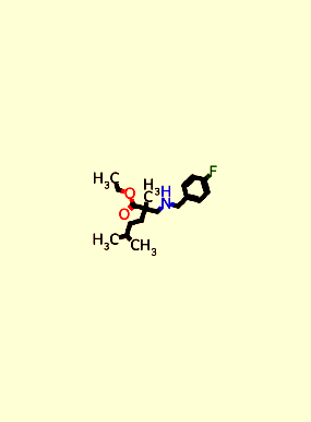 CCOC(=O)C(C)(CCC(C)C)CNCc1ccc(F)cc1